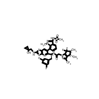 C[C@@H]1c2c(C(F)(F)F)nn(CC(=O)N[C@@H](Cc3cc(F)cc(F)c3)c3nc4nc(NCC5(O)CC5)sc4cc3-c3cccc4c(NS(C)(=O)=O)nn(C)c34)c2C(F)(F)[C@@H]1C